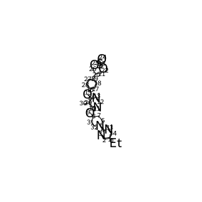 CCc1cnc(N2CCC(Oc3ncnc(Oc4ccc(C5COS(=O)OC5)cc4)c3C)CC2)nc1